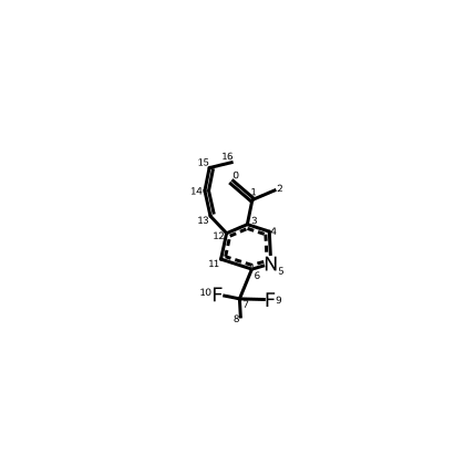 C=C(C)c1cnc(C(C)(F)F)cc1C=C=CC